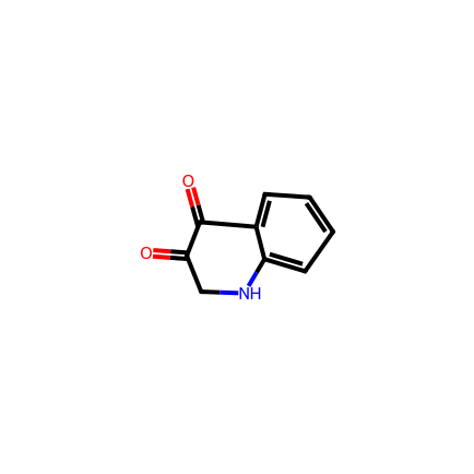 O=C1CNc2ccccc2C1=O